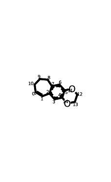 [C]1=Cc2cc3c(cc2CCC1)OCCO3